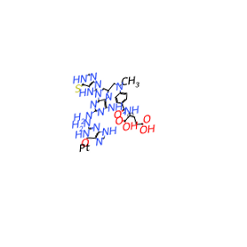 CN(Cc1cnc2nc(N)nc(N)c2n1)c1ccc(C(=O)N[C@@H](CCC(=O)O)C(=O)O)cc1.Nc1nc2[nH]cnc2c(=O)[nH]1.S=c1[nH]cnc2nc[nH]c12.[Pt]